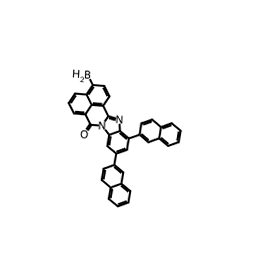 Bc1ccc2c3c1cccc3c(=O)n1c3cc(-c4ccc5ccccc5c4)cc(-c4ccc5ccccc5c4)c3nc21